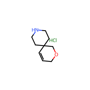 C1=CC2(CCNCC2)COC1.Cl